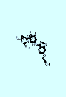 C#CCOc1cnc2c(Nc3cc(F)c(F)c([C@@]4(C)N=C(N)S[C@@]5(CF)C[C@H]54)c3)ncnc2c1